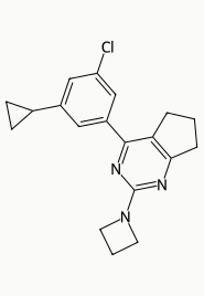 Clc1cc(-c2nc(N3CCC3)nc3c2CCC3)cc(C2CC2)c1